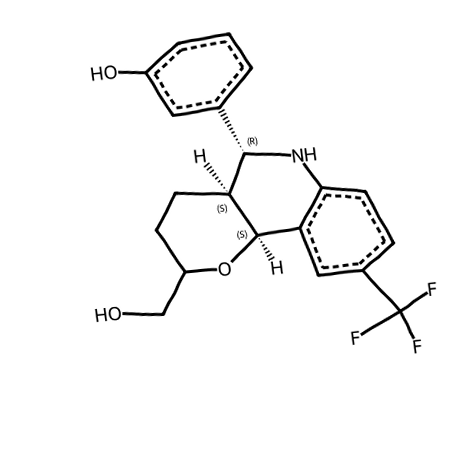 OCC1CC[C@@H]2[C@H](O1)c1cc(C(F)(F)F)ccc1N[C@H]2c1cccc(O)c1